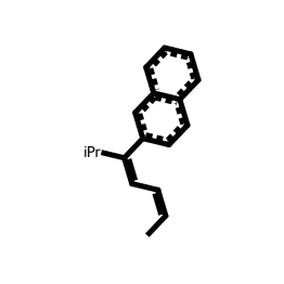 C/C=C\C=C(/c1ccc2ccccc2c1)C(C)C